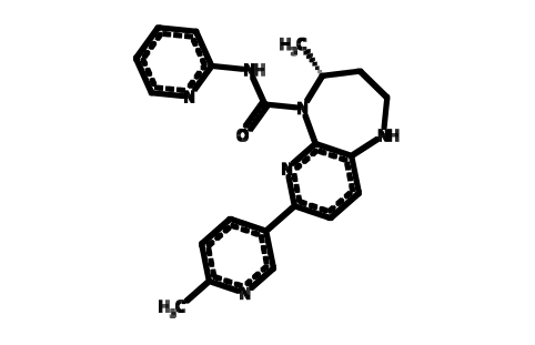 Cc1ccc(-c2ccc3c(n2)N(C(=O)Nc2ccccn2)[C@H](C)CCN3)cn1